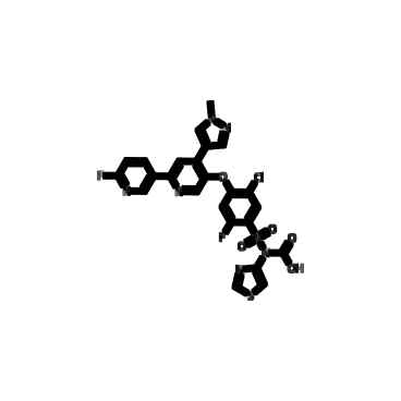 Cn1cc(-c2cc(-c3ccc(F)nc3)ncc2Oc2cc(F)c(S(=O)(=O)N(C(=O)O)c3cscn3)cc2Cl)cn1